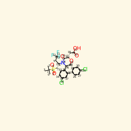 CC(C)(C)S(=O)(=O)C[C@H](CC(F)(F)F)N1C(=O)[C@H](CC(=O)O)O[C@H](c2cccc(Cl)c2)[C@H]1c1ccc(Cl)cc1